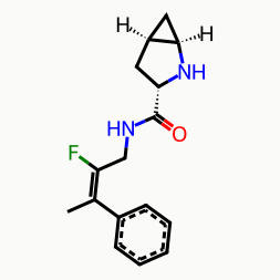 C/C(=C(\F)CNC(=O)[C@@H]1C[C@H]2C[C@H]2N1)c1ccccc1